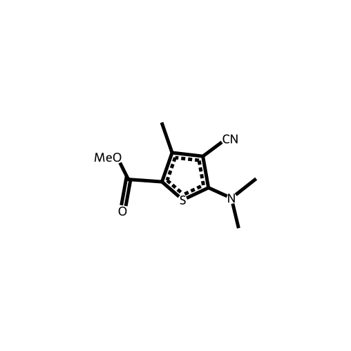 COC(=O)c1sc(N(C)C)c(C#N)c1C